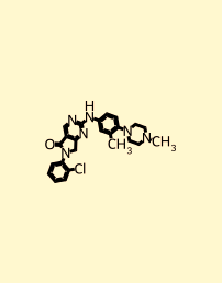 Cc1cc(Nc2ncc3c(n2)CN(c2ccccc2Cl)C3=O)ccc1N1CCN(C)CC1